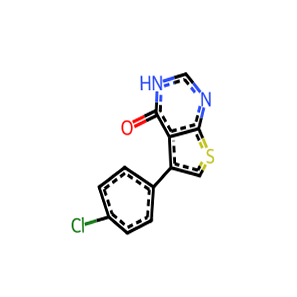 O=c1[nH]cnc2scc(-c3ccc(Cl)cc3)c12